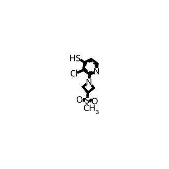 CS(=O)(=O)C1CN(c2nccc(S)c2Cl)C1